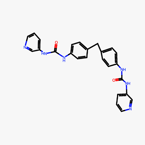 O=C(Nc1ccc(Cc2ccc(NC(=O)Nc3cccnc3)cc2)cc1)Nc1cccnc1